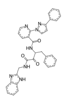 O=C(NCc1nc2ccccc2[nH]1)C(=O)C(Cc1ccccc1)NC(=O)c1cccnc1-n1ccc(-c2ccccc2)n1